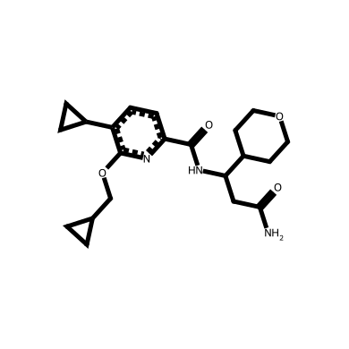 NC(=O)CC(NC(=O)c1ccc(C2CC2)c(OCC2CC2)n1)C1CCOCC1